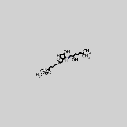 CC(C)=CCC[C@H](O)/C=C/[C@@H]1[C@H]2C[C@H](CCCCC(=O)NS(C)(=O)=O)O[C@H]2C[C@H]1O